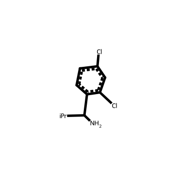 CC(C)C(N)c1ccc(Cl)cc1Cl